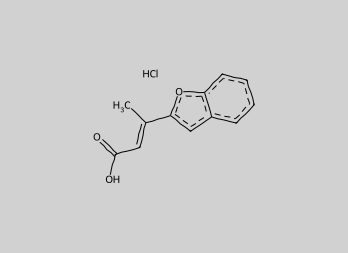 CC(=CC(=O)O)c1cc2ccccc2o1.Cl